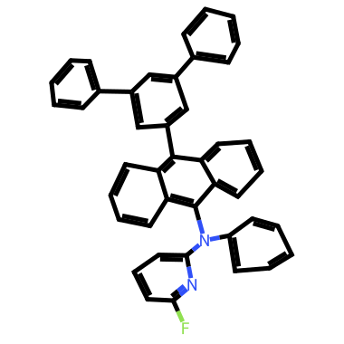 Fc1cccc(N(c2ccccc2)c2c3ccccc3c(-c3cc(-c4ccccc4)cc(-c4ccccc4)c3)c3ccccc23)n1